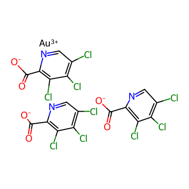 O=C([O-])c1ncc(Cl)c(Cl)c1Cl.O=C([O-])c1ncc(Cl)c(Cl)c1Cl.O=C([O-])c1ncc(Cl)c(Cl)c1Cl.[Au+3]